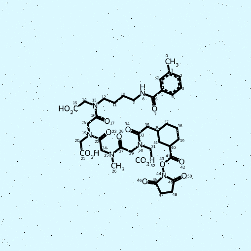 Cc1cccc(C(=O)NCCCCN(CC(=O)O)C(=O)CN(CC(=O)O)C(=O)CN(C)C(=O)CN(CC(=O)O)C(=O)CC2CCCC(C(=O)ON3C(=O)CCC3=O)C2)c1